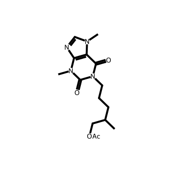 CC(=O)OCC(C)CCCn1c(=O)c2c(ncn2C)n(C)c1=O